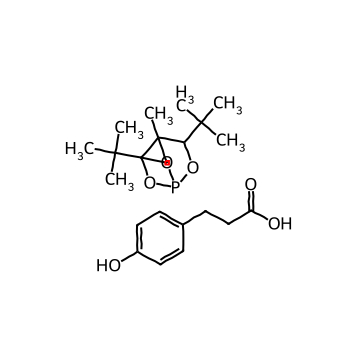 CC(C)(C)C1OP2OCC1(C)C(C(C)(C)C)O2.O=C(O)CCc1ccc(O)cc1